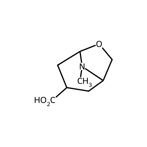 CN1C2COC1CC(C(=O)O)C2